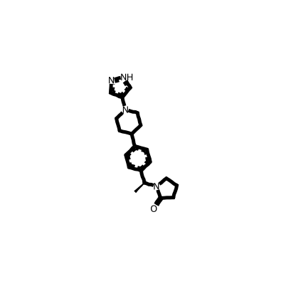 C[C@@H](c1ccc(C2CCN(c3cn[nH]c3)CC2)cc1)N1CCCC1=O